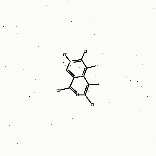 Cc1c(Cl)nc(Cl)c2c[n+]([O-])c(Cl)c(F)c12